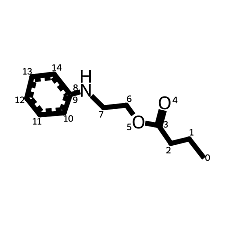 CCCC(=O)OCCNc1ccccc1